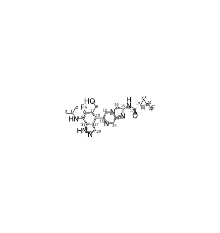 CC(C)Nc1c(F)c(CO)c(-c2cn3cc(NC(=O)[C@@H]4C[C@@H]4F)nc3cn2)c2cn[nH]c12